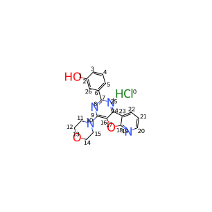 Cl.Oc1cccc(-c2nc(N3CCOCC3)c3oc4ncccc4c3n2)c1